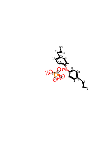 CC=Cc1ccc(Oc2ccc(C=CC)cc2)cc1.O=P(O)(O)O